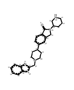 O=C1c2ccc(C3CCN(Cc4nc5ccccc5s4)CC3)cc2CN1C1CCCNC1